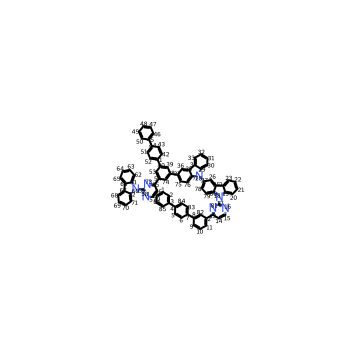 c1ccc(-c2ccc(-c3cccc(-c4ccnc(-n5c6ccccc6c6cc(-n7c8ccccc8c8cc(-c9cc(-c%10ccc(-c%11ccccc%11)cc%10)cc(-c%10ccnc(-n%11c%12ccccc%12c%12ccccc%12%11)n%10)c9)ccc87)ccc65)n4)c3)cc2)cc1